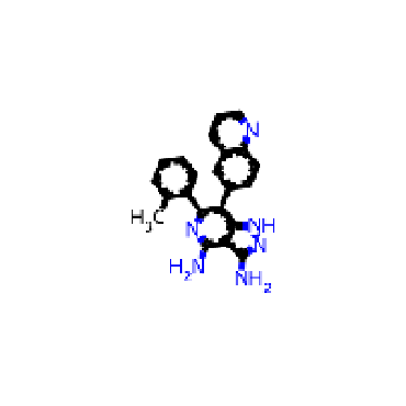 Cc1ccccc1-c1nc(N)c2c(N)n[nH]c2c1-c1ccc2ncccc2c1